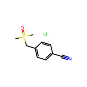 C[S+](C)(=O)Cc1ccc(C#N)cc1.[Cl-]